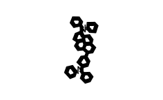 C1=CC(c2ccc(N(c3ccccc3)c3ccccc3)cc2)C2C=Cc3ccc(N(c4ccccc4)c4ccccc4)c4ccc1c2c34